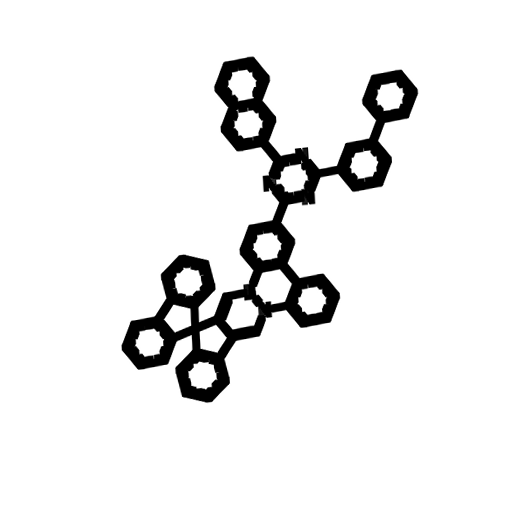 C1=C2C(=CB3c4ccc(-c5nc(-c6cccc(-c7ccccc7)c6)nc(-c6ccc7ccccc7c6)n5)cc4-c4ccccc4N13)C1(c3ccccc32)c2ccccc2-c2ccccc21